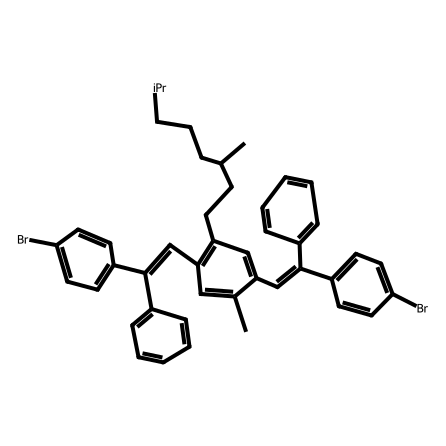 Cc1cc(/C=C(\c2ccccc2)c2ccc(Br)cc2)c(CCC(C)CCCC(C)C)cc1/C=C(\c1ccccc1)c1ccc(Br)cc1